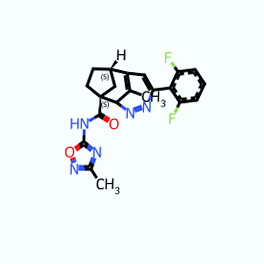 CC1=C2C=C(c3c(F)cccc3F)N=NC1[C@]1(C(=O)Nc3nc(C)no3)CC[C@H]2C1